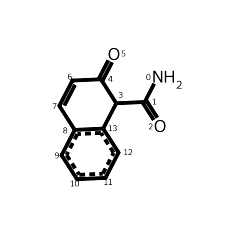 NC(=O)C1C(=O)C=Cc2ccccc21